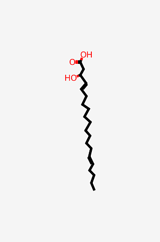 CCCCC=CCCCCCCCCCC=CC(O)CC(=O)O